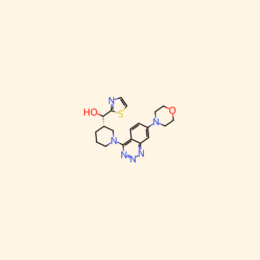 OC(c1nccs1)[C@H]1CCCN(c2nnnc3cc(N4CCOCC4)ccc23)C1